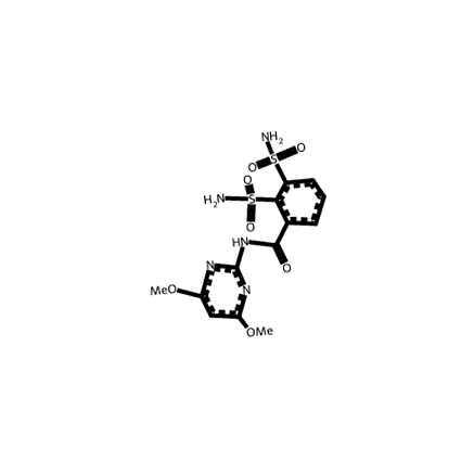 COc1cc(OC)nc(NC(=O)c2cccc(S(N)(=O)=O)c2S(N)(=O)=O)n1